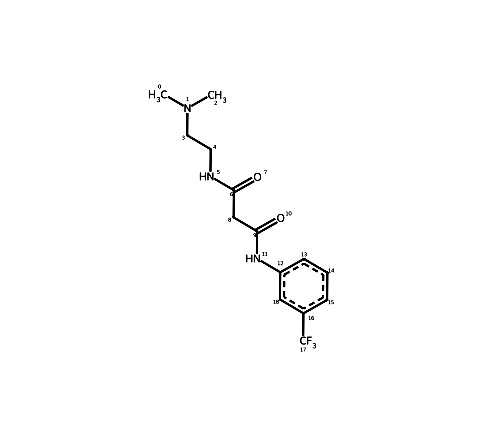 CN(C)CCNC(=O)CC(=O)Nc1cccc(C(F)(F)F)c1